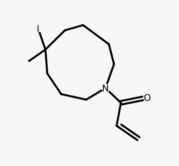 C=CC(=O)N1CCCCC(C)(I)CCC1